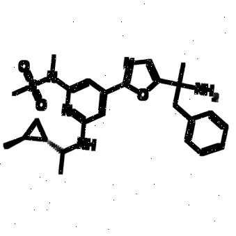 CC(Nc1cc(-c2ncc(C(C)(N)Cc3ccccc3)o2)cc(N(C)S(C)(=O)=O)n1)[C@H]1C[C@@H]1C